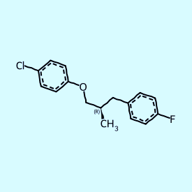 C[C@@H](COc1ccc(Cl)cc1)Cc1ccc(F)cc1